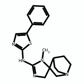 CN1C(Nc2ncc(-c3ccccc3)s2)=NCC12CN1CCC2CC1